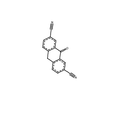 N#Cc1ccc2c(c1)C(=O)c1cc(C#N)ccc1C2